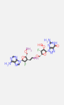 Nc1nc2c(nnn2[C@@H]2O[C@H](COPCC[C@H]3[C@H](F)[C@H](n4cnc5c(N)ncnc54)O[C@@H]3COP)[C@H](F)[C@H]2OO)c(=O)[nH]1